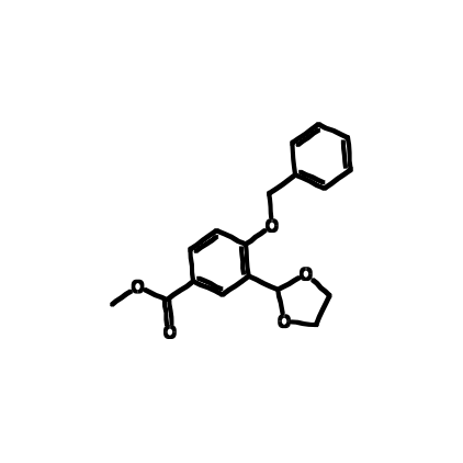 COC(=O)c1ccc(OCc2ccccc2)c(C2OCCO2)c1